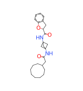 O=C(CC1CCCCCCCC1)NC12CC(NC(=O)C3Cc4ccccc4O3)(C1)C2